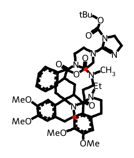 CCN1CCc2cc(OC)c(OC)cc2C1C1CC(C(=O)N2CCN(C3=NCCN3C(=O)OC(C)(C)C)CC2)CCC12c1cc(OC)c(OC)cc1CCN2C(=O)CCN(C)C(=O)OCc1ccccc1